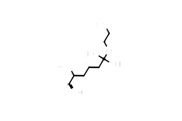 C=CC(C)CCCC(C)(C)OCCS